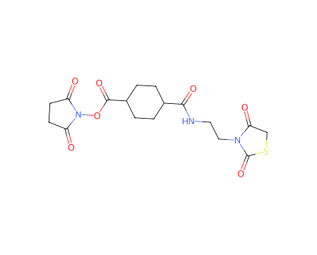 O=C(NCCN1C(=O)CSC1=O)C1CCC(C(=O)ON2C(=O)CCC2=O)CC1